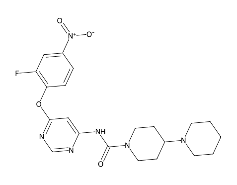 O=C(Nc1cc(Oc2ccc([N+](=O)[O-])cc2F)ncn1)N1CCC(N2CCCCC2)CC1